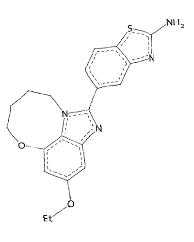 CCOc1cc2c3c(c1)nc(-c1ccc4sc(N)nc4c1)n3CCCCO2